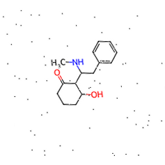 CNC(Cc1ccccc1)C1C(=O)CCCC1O